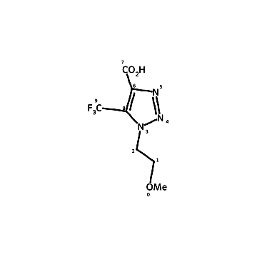 COCCn1nnc(C(=O)O)c1C(F)(F)F